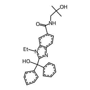 CCn1c(C(O)(c2ccccc2)c2ccccc2)nc2ccc(C(=O)NCC(C)(C)O)cc21